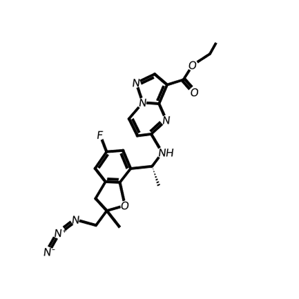 CCOC(=O)c1cnn2ccc(N[C@H](C)c3cc(F)cc4c3OC(C)(CN=[N+]=[N-])C4)nc12